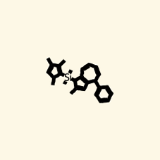 CC1=CC(C)C([Si](C)(C)C2C(C)=CC3=C2C=CC=CC3c2ccccc2)=C1C